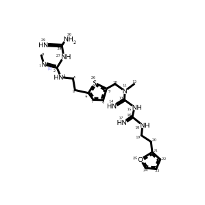 C/N=C(/NCCc1ccc(CN(C)C(=N)NC(=N)NCCc2ccco2)s1)NC(=N)N